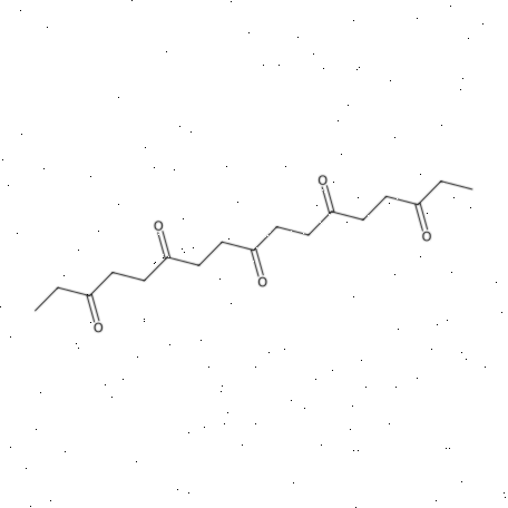 CCC(=O)CCC(=O)CCC(=O)CCC(=O)CCC(=O)CC